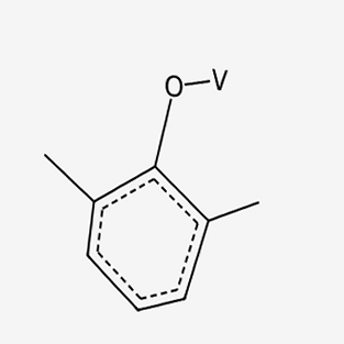 Cc1cccc(C)c1[O][V]